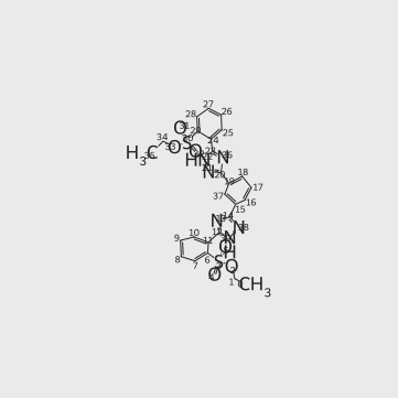 CCOS(=O)(=O)c1ccccc1-c1nc(-c2cccc(-c3n[nH]c(-c4ccccc4S(=O)(=O)OCC)n3)c2)n[nH]1